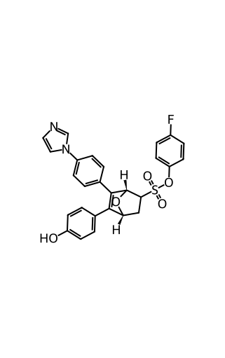 O=S(=O)(Oc1ccc(F)cc1)C1C[C@H]2O[C@@H]1C(c1ccc(-n3ccnc3)cc1)=C2c1ccc(O)cc1